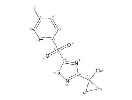 Cc1ccc(S(=O)(=O)c2nc(C3(Cl)CC3)ns2)cc1